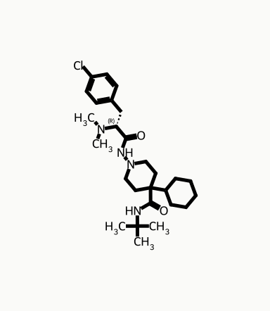 CN(C)[C@H](Cc1ccc(Cl)cc1)C(=O)NN1CCC(C(=O)NC(C)(C)C)(C2CCCCC2)CC1